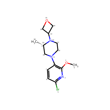 COc1nc(Br)ccc1N1CCN(C2COC2)[C@@H](C)C1